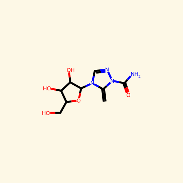 C=C1N(C(N)=O)N=CN1C1OC(CO)C(O)C1O